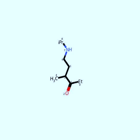 CCC(=O)C(C)CCNC(C)C